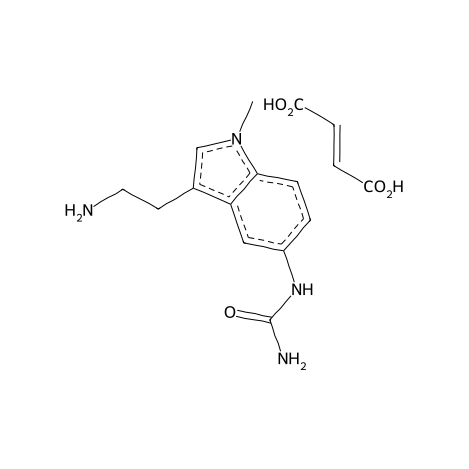 Cn1cc(CCN)c2cc(NC(N)=O)ccc21.O=C(O)C=CC(=O)O